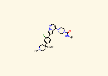 COC1(c2ccc(-c3cc4c(N5CCN(C(=O)NC(C)C)CC5)ccnn4c3)c(F)c2)CCN(C(C)C)CC1